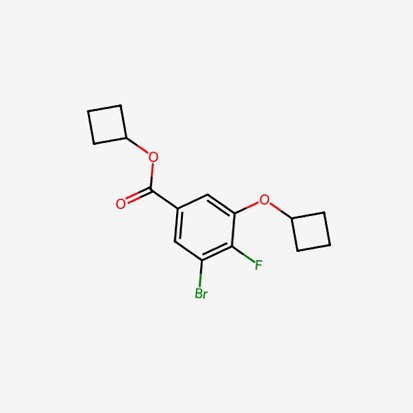 O=C(OC1CCC1)c1cc(Br)c(F)c(OC2CCC2)c1